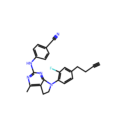 C#CCCc1ccc(N2CCc3c(C)nc(Nc4ccc(C#N)cc4)nc32)c(F)c1